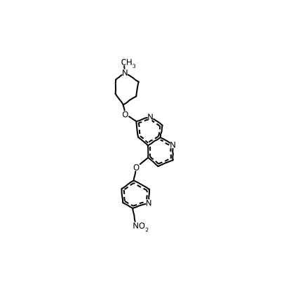 CN1CCC(Oc2cc3c(Oc4ccc([N+](=O)[O-])nc4)ccnc3cn2)CC1